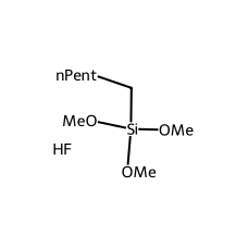 CCCCCC[Si](OC)(OC)OC.F